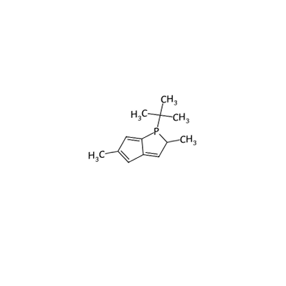 CC1=CC2=CC(C)P(C(C)(C)C)C2=C1